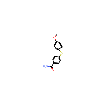 COc1ccc(Sc2ccc(C(N)=O)cc2)cc1